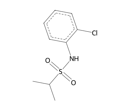 CC(C)S(=O)(=O)Nc1ccccc1Cl